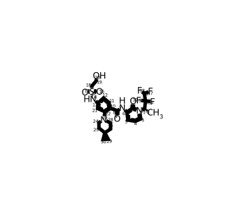 C[C@@H](n1cccc(NC(=O)c2ccc(NS(=O)(=O)CCO)cc2N2CCC3(CC2)CC3)c1=O)C(F)(F)C(F)F